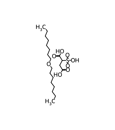 CCCCCCCCOCCCCCCCC.O=C(O)CC(C(=O)O)S(=O)(=O)O